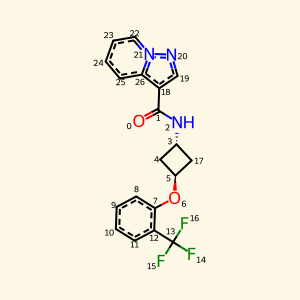 O=C(N[C@H]1C[C@H](Oc2ccccc2C(F)(F)F)C1)c1cnn2ccccc12